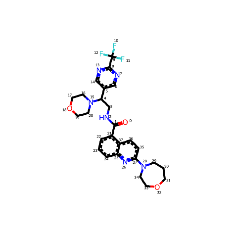 O=C(NCC(c1cnc(C(F)(F)F)nc1)N1CCOCC1)c1cccc2nc(N3CCCOCC3)ccc12